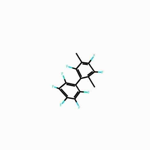 Cc1c(F)c(F)c(C)c(-c2c(F)c(F)c(F)c(F)c2F)c1F